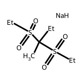 CCC(C)(S(=O)(=O)CC)S(=O)(=O)CC.[NaH]